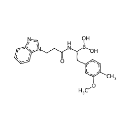 COc1cc(CC(NC(=O)CCn2cnc3ccccc32)B(O)O)ccc1C